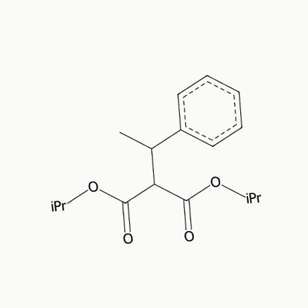 CC(C)OC(=O)C(C(=O)OC(C)C)C(C)c1ccccc1